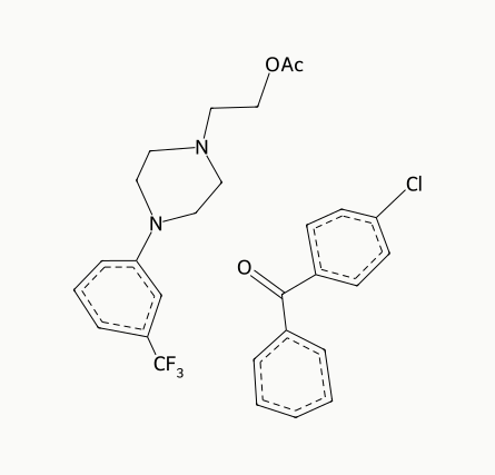 CC(=O)OCCN1CCN(c2cccc(C(F)(F)F)c2)CC1.O=C(c1ccccc1)c1ccc(Cl)cc1